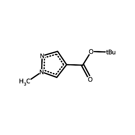 Cn1cc(C(=O)OC(C)(C)C)cn1